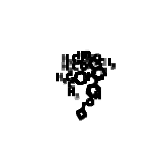 Cc1ncc(-c2ccc(OCC3CCC3)nc2)c(N2CCC(C)(C)CC2)c1[C@H](OC(C)(C)C)C(=O)O